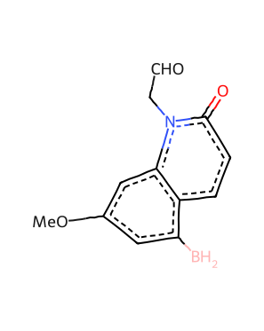 Bc1cc(OC)cc2c1ccc(=O)n2CC=O